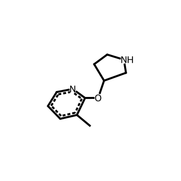 Cc1cccnc1OC1CCNC1